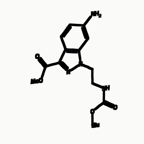 COC(=O)c1nn(CCNC(=O)OC(C)(C)C)c2cc(N)ccc12